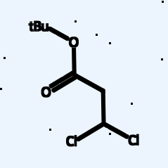 CC(C)(C)OC(=O)CC(Cl)Cl